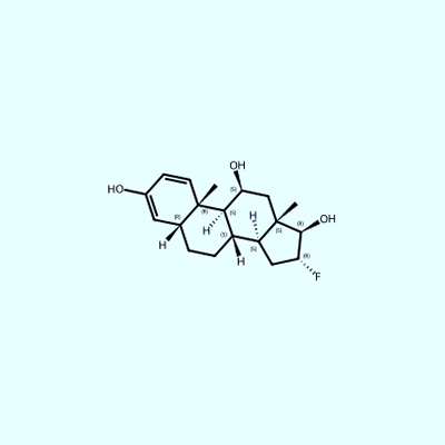 C[C@]12C=CC(O)=C[C@H]1CC[C@@H]1[C@@H]2[C@@H](O)C[C@]2(C)[C@@H](O)[C@H](F)C[C@@H]12